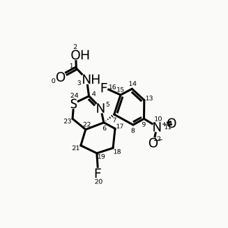 O=C(O)NC1=N[C@@]2(c3cc([N+](=O)[O-])ccc3F)CCC(F)CC2CS1